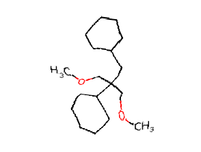 COCC(COC)(CC1CCCCC1)C1CCCCC1